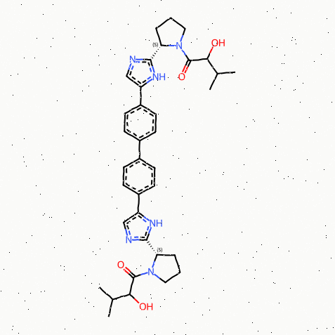 CC(C)C(O)C(=O)N1CCC[C@H]1c1ncc(-c2ccc(-c3ccc(-c4cnc([C@@H]5CCCN5C(=O)C(O)C(C)C)[nH]4)cc3)cc2)[nH]1